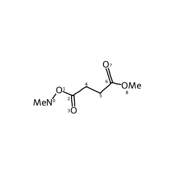 CNOC(=O)CCC(=O)OC